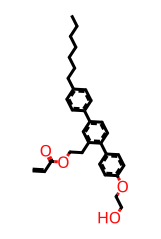 C=CC(=O)OCCc1cc(-c2ccc(CCCCCCC)cc2)ccc1-c1ccc(OCCO)cc1